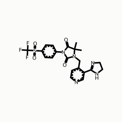 CC1(C)C(=O)N(c2ccc(S(=O)(=O)C(F)(F)F)cc2)C(=O)N1Cc1ccncc1C1=NCCN1